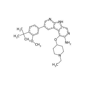 CCN1CCC(Oc2c(N)ncc3[nH]c4ncc(-c5ccc(C(C)(C)C)c(OC)c5)cc4c23)CC1